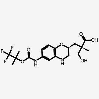 CC(C)(OC(=O)Nc1ccc2c(c1)NC[C@H](C[C@@](C)(CO)C(=O)O)O2)C(F)(F)F